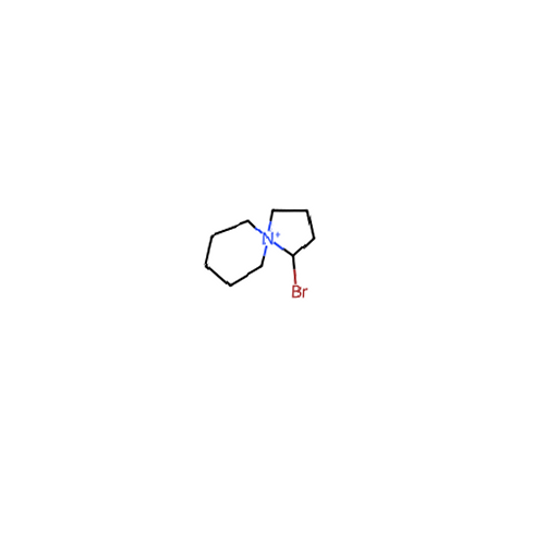 BrC1CCC[N+]12CCCCC2